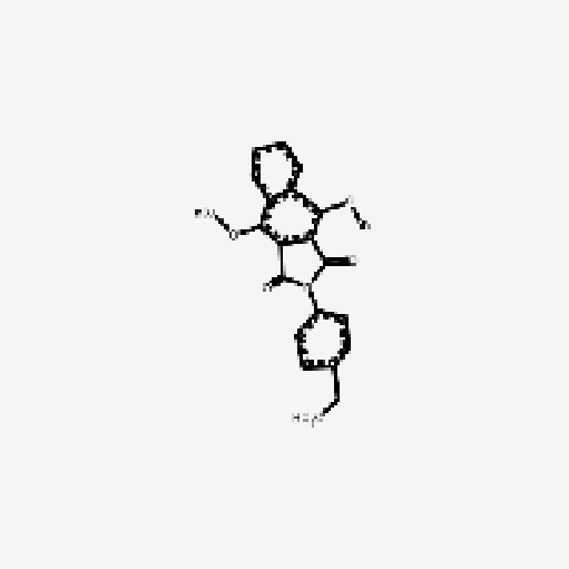 CCCCOc1c2c(c(OC(C)C)c3ccccc13)C(=O)N(c1ccc(CC(=O)O)cc1)C2=O